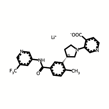 Cc1ccc(C(=O)Nc2cncc(C(F)(F)F)c2)cc1[C@@H]1CCN(c2cnccc2C(=O)[O-])C1.[Li+]